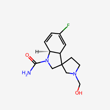 NC(=O)N1CC2(CCN(CO)C2)C2C=C(F)C=C[C@@H]21